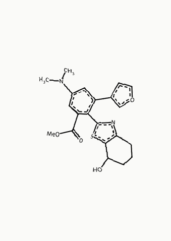 COC(=O)c1cc(N(C)C)cc(-c2ccoc2)c1-c1nc2c(s1)C(O)CCC2